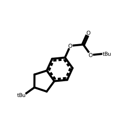 CC(C)(C)OC(=O)Oc1ccc2c(c1)CC(C(C)(C)C)C2